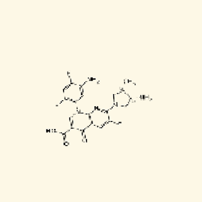 C[C@H]1CN(c2nc3c(cc2F)c(=O)c(C(=O)O)cn3-c2cc(N)c(F)cc2F)C[C@H]1N